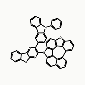 c1ccc(-n2c3ccccc3c3cc(-c4nc5c(nc4-n4c6ccc7cccc8c7c6c6c7c(ccc64)oc4cccc-8c47)oc4ccccc45)ccc32)cc1